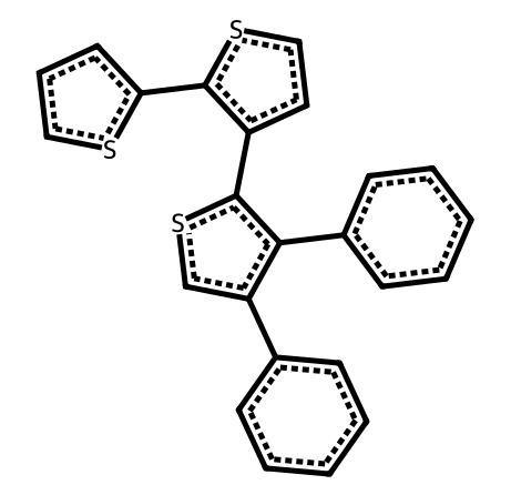 c1ccc(-c2csc(-c3ccsc3-c3cccs3)c2-c2ccccc2)cc1